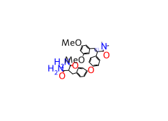 COc1cc(/C=C(/C(=O)N(C)C)c2ccc(Oc3ccc(CC(C(N)=O)C(N)=O)cc3)cc2)cc(OC)c1